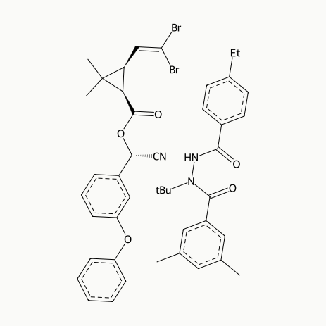 CC1(C)[C@H](C(=O)O[C@H](C#N)c2cccc(Oc3ccccc3)c2)[C@@H]1C=C(Br)Br.CCc1ccc(C(=O)NN(C(=O)c2cc(C)cc(C)c2)C(C)(C)C)cc1